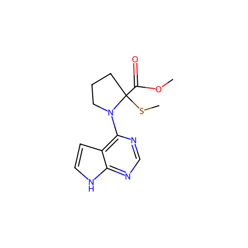 COC(=O)C1(SC)CCCN1c1ncnc2[nH]ccc12